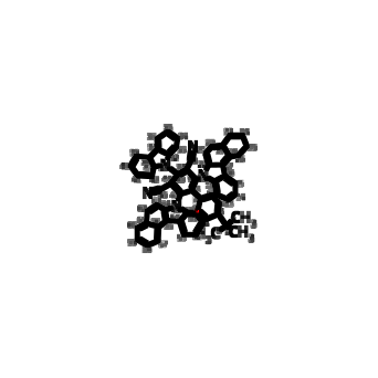 CC(C)(C)c1ccc(-c2c(-n3c4ccccc4c4c5c(ccc43)C=CCC5)c(C#N)c(N3c4ccccc4C4C=CC=CC43)c(C#N)c2-n2c3ccccc3c3c4ccccc4ccc32)cc1